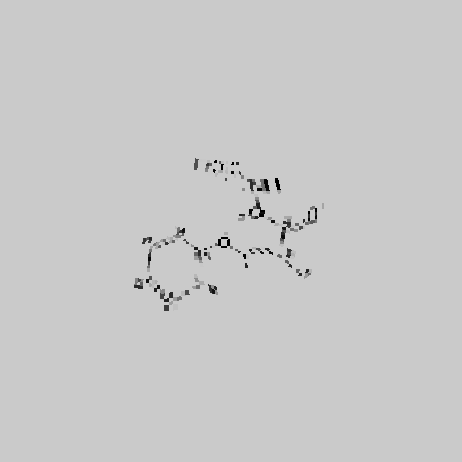 CCOC(=O)NOC(=O)C(C)=COc1ccccc1